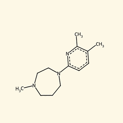 Cc1ccc(N2CCCN(C)CC2)nc1C